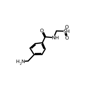 NCc1ccc(C(=O)NC[SH](=O)=O)cc1